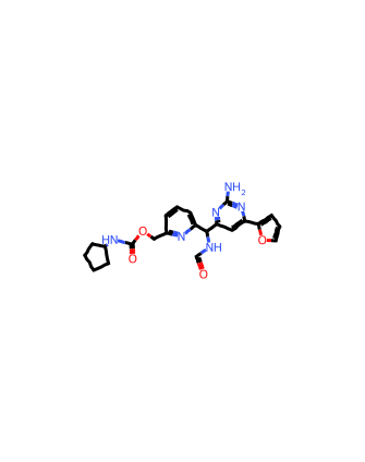 Nc1nc(-c2ccco2)cc(C(NC=O)c2cccc(COC(=O)NC3CCCC3)n2)n1